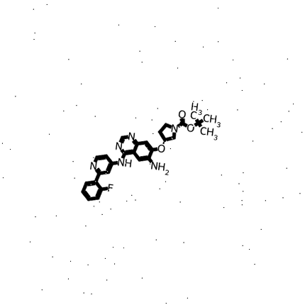 CC(C)(C)OC(=O)N1CC[C@@H](Oc2cc3ncnc(Nc4ccnc(-c5ccccc5F)c4)c3cc2N)C1